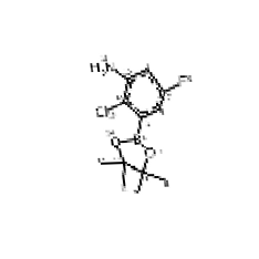 CC1(C)OB(c2cc(F)cc(N)c2Cl)OC1(C)C